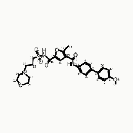 COc1ccc(-c2ccc(NC(=O)c3cc(C(=O)NS(=O)(=O)CCCN4CCOCC4)oc3C)cc2)cc1